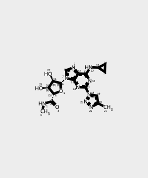 CNC(=O)[C@H]1O[C@@H](n2cnc3c(NC4CC4)nc(-n4cc(C)nn4)nc32)[C@H](O)[C@@H]1O